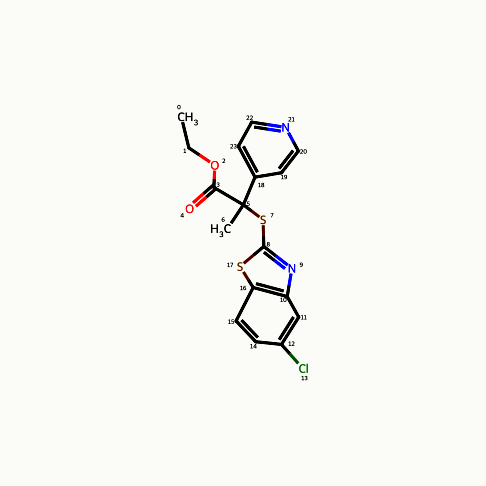 CCOC(=O)C(C)(Sc1nc2cc(Cl)ccc2s1)c1ccncc1